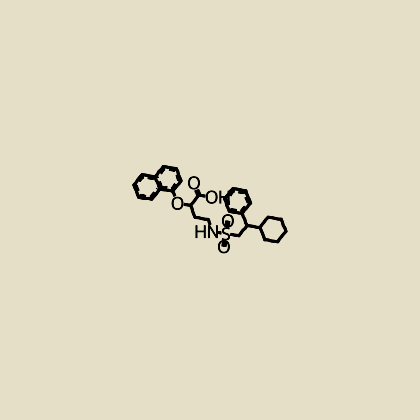 O=C(O)C(CCNS(=O)(=O)CC(c1ccccc1)C1CCCCC1)Oc1cccc2ccccc12